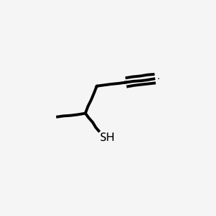 [C]#CCC(C)S